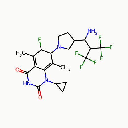 CC1=c2c(=O)[nH]c(=O)n(C3CC3)c2=C(C)C(N2CCC(C(N)C(C(F)(F)F)C(F)(F)F)C2)C1F